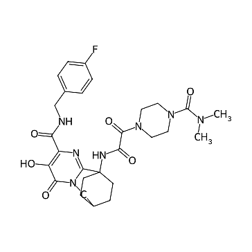 CN(C)C(=O)N1CCN(C(=O)C(=O)NC23CCC(CC2)Cn2c3nc(C(=O)NCc3ccc(F)cc3)c(O)c2=O)CC1